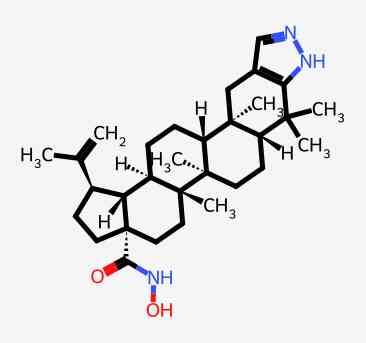 C=C(C)[C@@H]1CC[C@]2(C(=O)NO)CC[C@]3(C)[C@H](CC[C@@H]4[C@@]5(C)Cc6cn[nH]c6C(C)(C)[C@@H]5CC[C@]43C)[C@@H]12